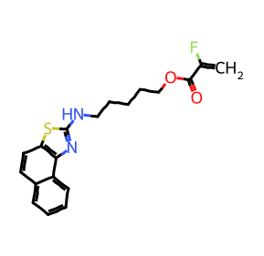 C=C(F)C(=O)OCCCCCNc1nc2c(ccc3ccccc32)s1